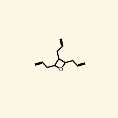 C=CCC1OC(CC=C)C1CC=C